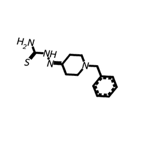 NC(=S)NN=C1CCN(Cc2ccccc2)CC1